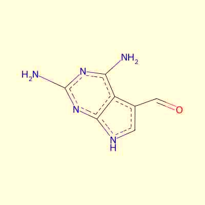 Nc1nc(N)c2c(C=O)c[nH]c2n1